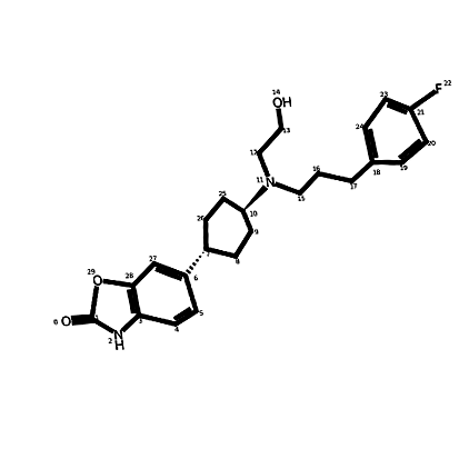 O=c1[nH]c2ccc([C@H]3CC[C@H](N(CCO)CCCc4ccc(F)cc4)CC3)cc2o1